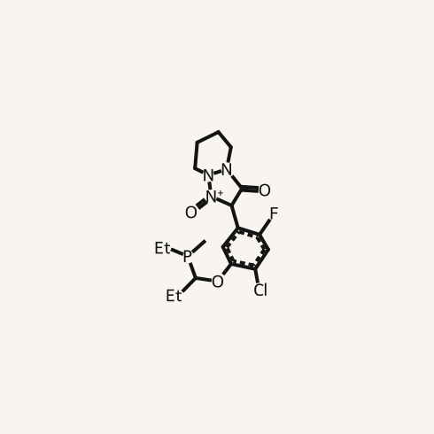 CCC(Oc1cc(C2C(=O)N3CCCCN3[N+]2=O)c(F)cc1Cl)P(C)CC